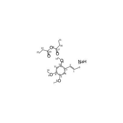 CC=Cc1cc(OC)c(OC)cc1OC.CCC(=O)OC(=O)CC.[NaH]